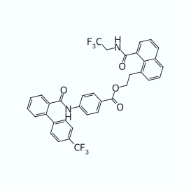 O=C(OCCc1cccc2cccc(C(=O)NCC(F)(F)F)c12)c1ccc(NC(=O)c2ccccc2-c2ccc(C(F)(F)F)cc2)cc1